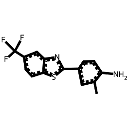 Cc1cc(-c2nc3cc(C(F)(F)F)ccc3s2)ccc1N